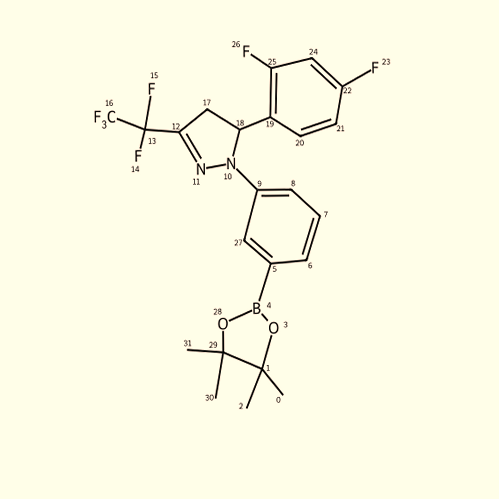 CC1(C)OB(c2cccc(N3N=C(C(F)(F)C(F)(F)F)CC3c3ccc(F)cc3F)c2)OC1(C)C